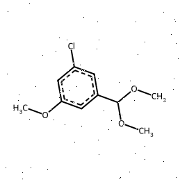 COc1cc(Cl)cc(C(OC)OC)c1